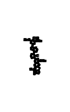 COc1cc(-n2ccc3c(-c4cccc(-c5ccc(CN(C[C@@H]6CCC(=O)N6)C(=O)OC(C)(C)C)c(OC)n5)c4Cl)ccnc32)cc(OC)c1C=O